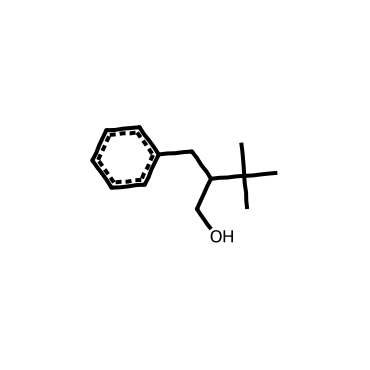 CC(C)(C)C(CO)Cc1ccccc1